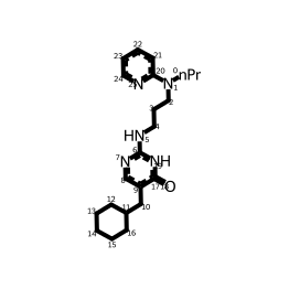 CCCN(CCCNc1ncc(CC2CCCCC2)c(=O)[nH]1)c1ccccn1